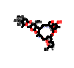 CCC(C)[C@H]1O[C@]2(C=C[C@@H]1C)C[C@@H]1C[C@@H](C/C=C(\C)[C@@H](OC3C[C@H](OC)[C@@H](OC4C[C@H](OC)[C@](C#N)(NC(C)=O)[C@H](C)O4)[C@H](C)O3)C(C)/C=C/C=C3\COC4[C@H](O)C(C)=C[C@@H](C(=O)O1)[C@]34O)O2